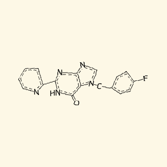 O=c1[nH]c(-c2ccccn2)nc2ncn(Cc3ccc(F)cc3)c12